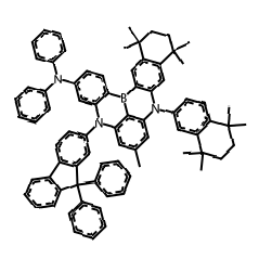 Cc1cc2c3c(c1)N(c1ccc4c(c1)C(C)(C)CCC4(C)C)c1cc4c(cc1B3c1ccc(N(c3ccccc3)c3ccccc3)cc1N2c1ccc2c(c1)C(c1ccccc1)(c1ccccc1)c1ccccc1-2)C(C)(C)CCC4(C)C